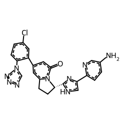 Nc1ccc(-c2c[nH]c([C@@H]3CCc4cc(-c5cc(Cl)ccc5-n5cnnn5)cc(=O)n43)n2)nc1